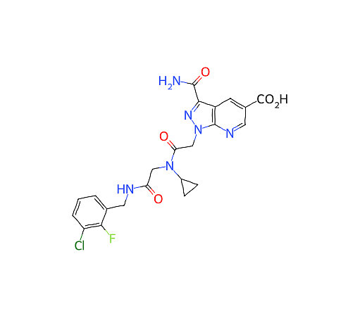 NC(=O)c1nn(CC(=O)N(CC(=O)NCc2cccc(Cl)c2F)C2CC2)c2ncc(C(=O)O)cc12